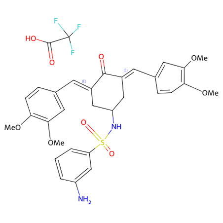 COc1ccc(/C=C2\CC(NS(=O)(=O)c3cccc(N)c3)C/C(=C\c3ccc(OC)c(OC)c3)C2=O)cc1OC.O=C(O)C(F)(F)F